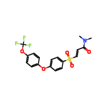 CN(C)C(=O)C=CS(=O)(=O)c1ccc(Oc2ccc(OC(F)(F)F)cc2)cc1